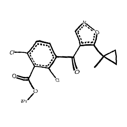 CC(C)OC(=O)c1c(Cl)ccc(C(=O)c2cnoc2C2(C)CC2)c1Cl